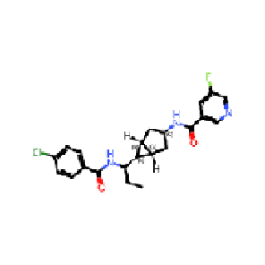 CCC(NC(=O)c1ccc(Cl)cc1)[C@H]1[C@@H]2C[C@@H](NC(=O)c3cncc(F)c3)C[C@@H]21